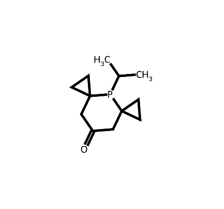 CC(C)P1C2(CC2)CC(=O)CC12CC2